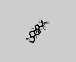 CCN(CC)C(=O)C1CC[C@H]2[C@@H]3CCC4N(C)CCC[C@]4(C)[C@@H]3CC[C@]12C